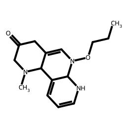 CCCON1C=C2CC(=O)CN(C)C2C2=CC=CNC21